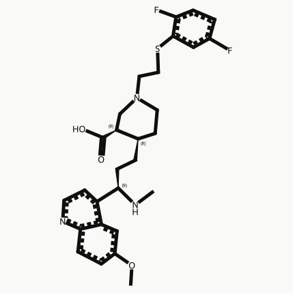 CN[C@H](CC[C@@H]1CCN(CCSc2cc(F)ccc2F)C[C@@H]1C(=O)O)c1ccnc2ccc(OC)cc12